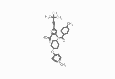 CC1CCC(C(=O)N(c2cc(C#CC(C)(C)C)sc2C(=O)O)[C@H]2CC[C@H](Oc3cc[n+](C)cc3)CC2)CC1